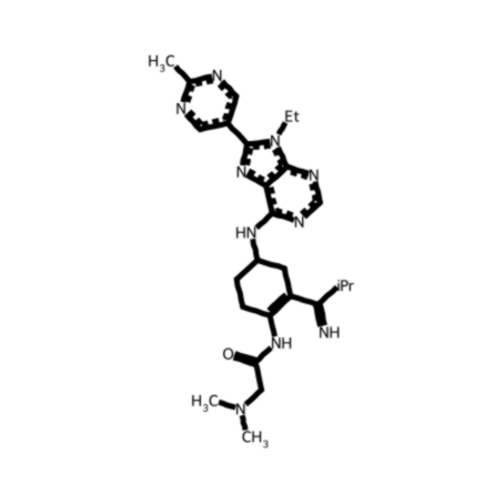 CCn1c(-c2cnc(C)nc2)nc2c(NC3CCC(NC(=O)CN(C)C)=C(C(=N)C(C)C)C3)ncnc21